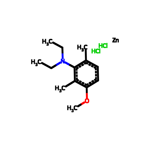 CCN(CC)c1c(C)ccc(OC)c1C.Cl.Cl.[Zn]